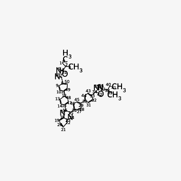 CCC(C)c1nnc(-c2ccc(-c3ccc(-c4nc5ccccc5nc4-c4ccc(-c5ccc(-c6nnc(C(C)CC)o6)cc5)cc4)cc3)cc2)o1